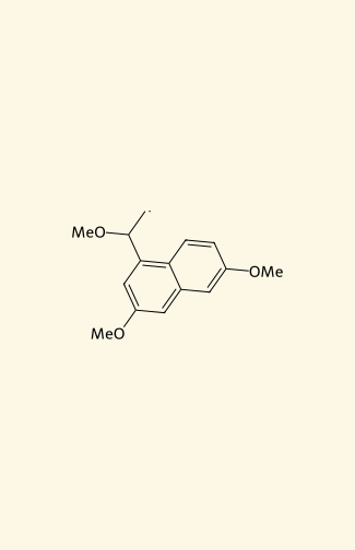 [CH2]C(OC)c1cc(OC)cc2cc(OC)ccc12